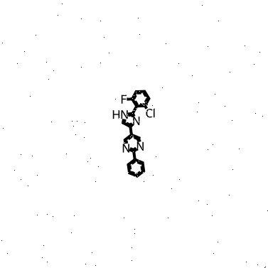 Fc1cccc(Cl)c1-c1nc(-c2cnc(-c3ccccc3)nc2)c[nH]1